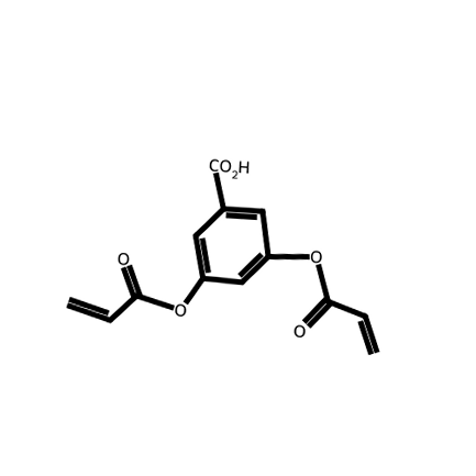 C=CC(=O)Oc1cc(OC(=O)C=C)cc(C(=O)O)c1